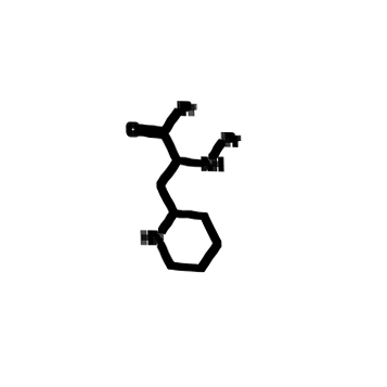 CC(C)NC(CC1CCCCN1)C(=O)C(C)C